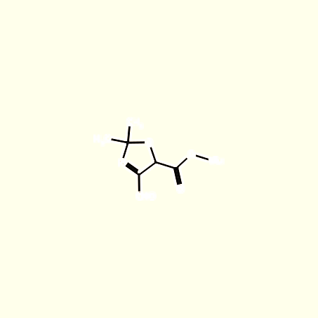 CC(C)(C)OC(=O)C1OC(C)(C)N=C1C=O